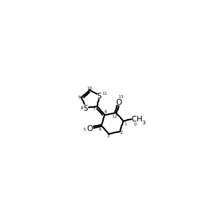 CC1CCC(=O)C(=C2SC=CS2)C1=O